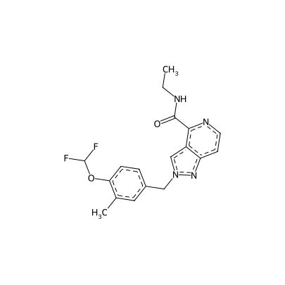 CCNC(=O)c1nccc2nn(Cc3ccc(OC(F)F)c(C)c3)cc12